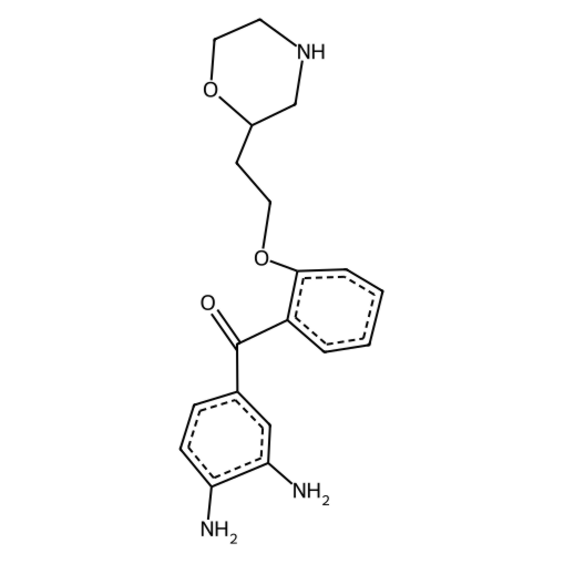 Nc1ccc(C(=O)c2ccccc2OCCC2CNCCO2)cc1N